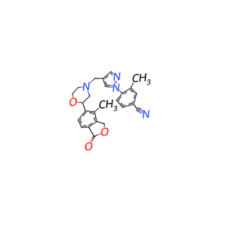 Cc1cc(C#N)ccc1-n1cc(CN2CCOC(c3ccc4c(c3C)COC4=O)C2)cn1